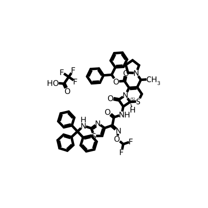 CC(C1=C(C(=O)OC(c2ccccc2)c2ccccc2)N2C(=O)C(NC(=O)C(=NOC(F)F)c3csc(NC(c4ccccc4)(c4ccccc4)c4ccccc4)n3)[C@@H]2SC1)N1CCCC1.O=C(O)C(F)(F)F